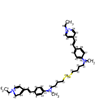 CCN1C=CC(/C=C/c2ccc(N(C)CCCCSSCCCCN(C)c3ccc(/C=C/c4cc[n+](CC)cc4)cc3)cc2)=CC1